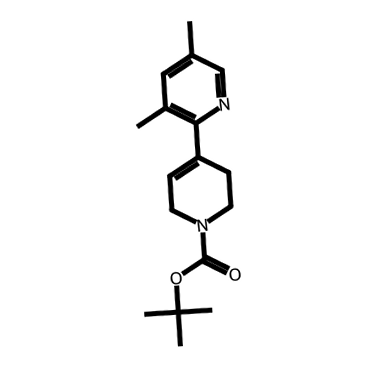 Cc1cnc(C2=CCN(C(=O)OC(C)(C)C)CC2)c(C)c1